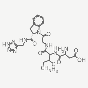 CCC(C)C(NC(=O)C(N)CC(=O)O)C(=O)NCC(=O)N1c2ccccc2C[C@H]1C(=O)NCc1nn[nH]n1